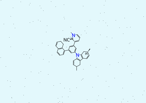 CC1C=Cc2c(c3c(n2-c2cc(C4=CC=CN(C)[C@@H]4C#N)cc(-c4cccc5c4CCC=C5)c2)C[C@@H](C)C=C3)C1